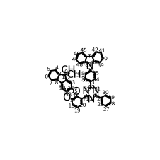 CC1(C)c2ccccc2-c2cc3c(cc21)Oc1c(cccc1-c1nc(-c2ccccc2)nc(-c2ccc(-n4c5ccccc5c5ccccc54)cc2)n1)O3